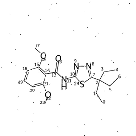 CCC(CC)(CC)c1nnc(NC(=O)c2c(OC)cccc2OC)s1